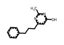 Cc1nc(O)cc(CCCc2ccccc2)n1